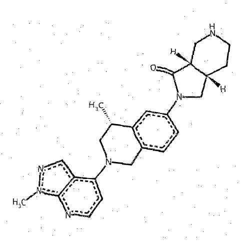 C[C@H]1CN(c2ccnc3c2cnn3C)Cc2ccc(N3C[C@H]4CCNC[C@H]4C3=O)cc21